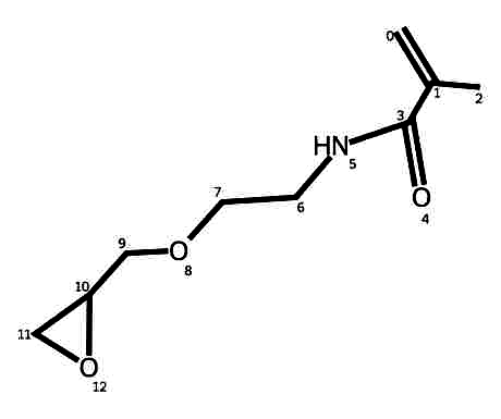 C=C(C)C(=O)NCCOCC1CO1